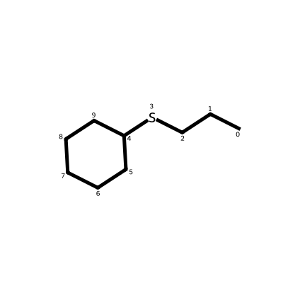 CCCSC1CCCCC1